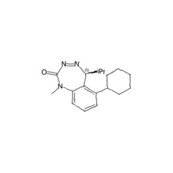 CC(C)[C@@H]1N=NC(=O)N(C)c2cccc(C3CCCCC3)c21